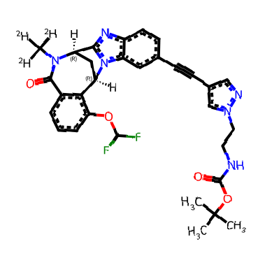 [2H]C([2H])([2H])N1C(=O)c2cccc(OC(F)F)c2[C@H]2C[C@@H]1c1nc3ccc(C#Cc4cnn(CCNC(=O)OC(C)(C)C)c4)cc3n12